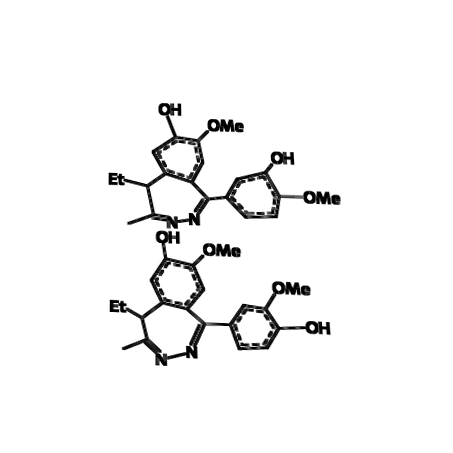 CCC1C(C)=NN=C(c2ccc(O)c(OC)c2)c2cc(OC)c(O)cc21.CCC1C(C)=NN=C(c2ccc(OC)c(O)c2)c2cc(OC)c(O)cc21